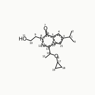 CC(C)c1cc2c(=O)n(CCO)nc(C(C)OC3CC3)n2c1